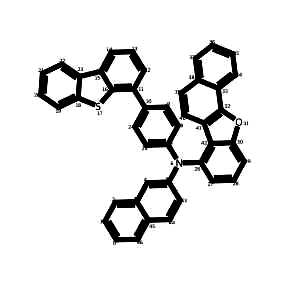 c1ccc2cc(N(c3ccc(-c4cccc5c4sc4ccccc45)cc3)c3cccc4oc5c6ccccc6ccc5c34)ccc2c1